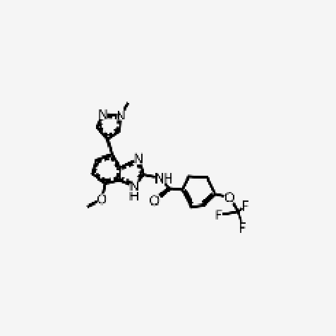 COc1ccc(-c2cnn(C)c2)c2nc(NC(=O)C3=CC=C(OC(F)(F)F)CC3)[nH]c12